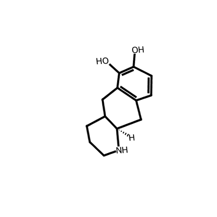 Oc1ccc2c(c1O)CC1CCCN[C@@H]1C2